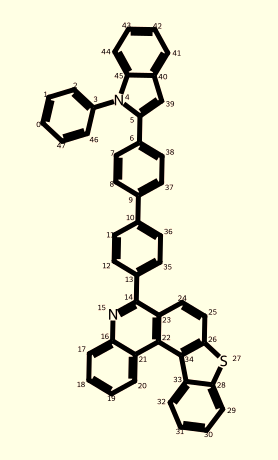 c1ccc(-n2c(-c3ccc(-c4ccc(-c5nc6ccccc6c6c5ccc5sc7ccccc7c56)cc4)cc3)cc3ccccc32)cc1